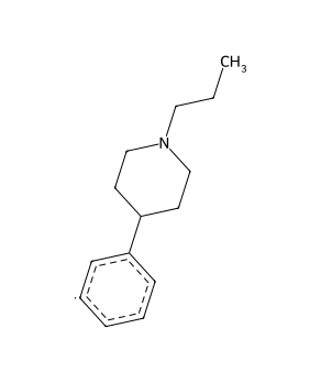 CCCN1CCC(c2c[c]ccc2)CC1